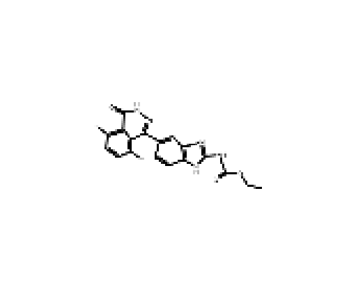 CCOC(=O)Nc1nc2cc(-c3n[nH]c(=O)c4c(Cl)ccc(Cl)c34)ccc2[nH]1